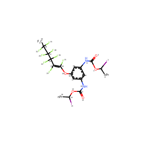 CCCC(I)OC(=O)Nc1cc(NC(=O)OC(I)CCC)cc(OC(F)=C(F)C(F)(F)C(F)(F)C(F)(F)C(F)(F)F)c1